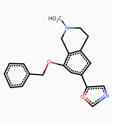 O=C(O)N1CCc2cc(-c3cnco3)cc(OCc3ccccc3)c2C1